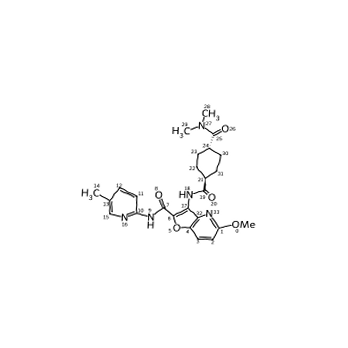 COc1ccc2oc(C(=O)Nc3ccc(C)cn3)c(NC(=O)[C@H]3CC[C@H](C(=O)N(C)C)CC3)c2n1